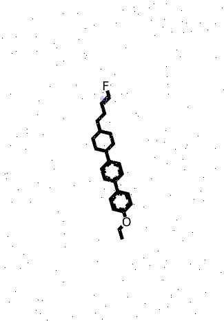 CCOc1ccc(-c2ccc(C3CCC(CC/C=C/F)CC3)cc2)cc1